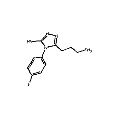 CCCCc1nnc(S)n1-c1ccc(F)cc1